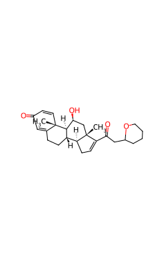 C[C@]12C=CC(=O)C=C1CC[C@@H]1[C@@H]2[C@@H](O)C[C@]2(C)C(C(=O)CC3CCCCO3)=CC[C@@H]12